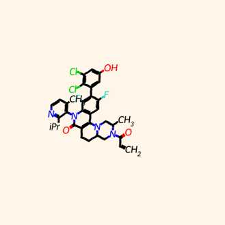 C=CC(=O)N1CC2CCc3c(c4cc(F)c(-c5cc(O)cc(Cl)c5Cl)c(F)c4n(-c4c(C)ccnc4C(C)C)c3=O)N2CC1C